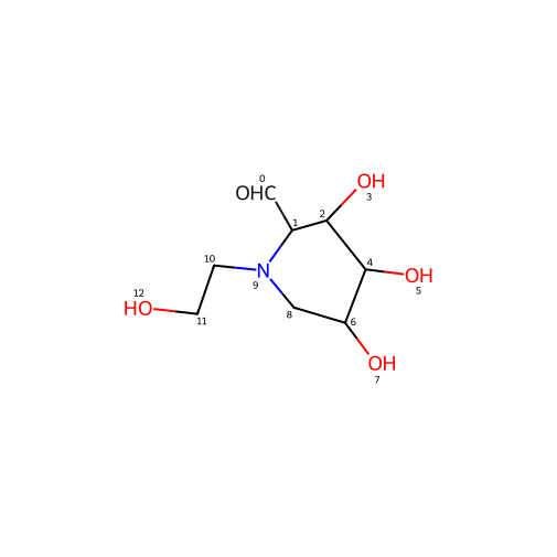 O=CC1C(O)C(O)C(O)CN1CCO